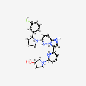 O[C@@H]1CCN(c2cccc(-c3cnc4ccc(N5CCCC5c5cccc(F)c5)nn34)n2)C1